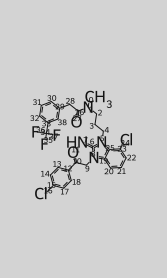 CN(CCCn1c(=N)n(CC(=O)c2ccc(Cl)cc2)c2cccc(Cl)c21)C(=O)Cc1cccc(C(F)(F)F)c1